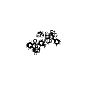 CCN(CC)C(=O)C(c1ccccc1)N1CCN(c2ccc(NC(=O)c3ccccc3-c3cccnc3)cc2F)CC1.O=C(O)/C=C\C(=O)O